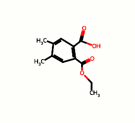 CCOC(=O)c1cc(C)c(C)cc1C(=O)O